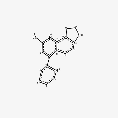 CCc1cc(-c2ccccn2)c2ccc3c(c2n1)CCO3